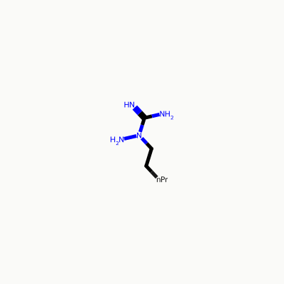 CCCCCN(N)C(=N)N